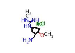 CNC(=N)Nc1ccc(OC)c(CN)c1.Cl.Cl